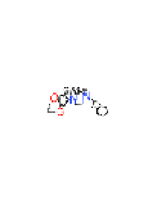 COc1cc2c(cc1N1CCN(CC3Cc4ccccc4C3)CC1)OC=CCO2